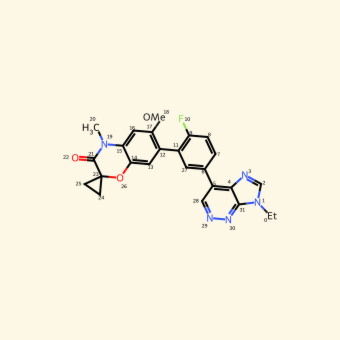 CCn1cnc2c(-c3ccc(F)c(-c4cc5c(cc4OC)N(C)C(=O)C4(CC4)O5)c3)cnnc21